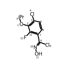 CC(C)Oc1c(Cl)ccc(C(Cl)=NO)c1F